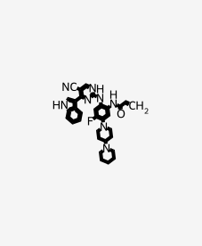 C=CC(=O)Nc1cc(N2CCC(N3CCCCC3)CC2)c(F)cc1Nc1ncc(C#N)c(-c2c[nH]c3ccccc23)n1